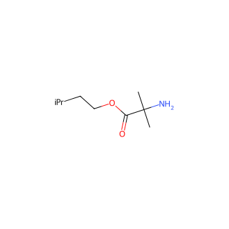 CC(C)CCOC(=O)C(C)(C)N